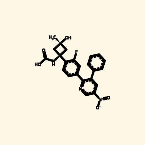 C[C@]1(O)C[C@](NC(=O)O)(c2ccc(-c3ncc([N+](=O)[O-])cc3-c3ccccc3)cc2F)C1